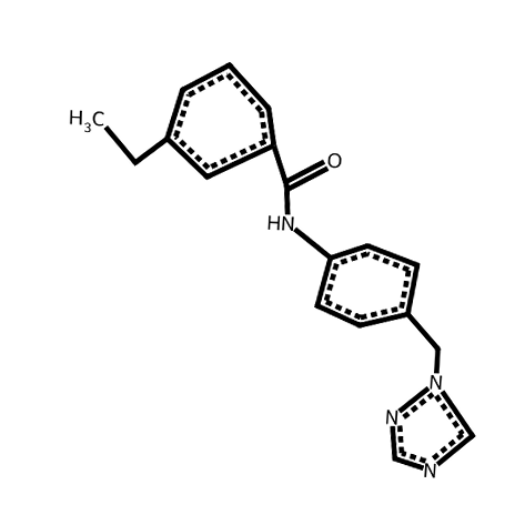 CCc1cccc(C(=O)Nc2ccc(Cn3cncn3)cc2)c1